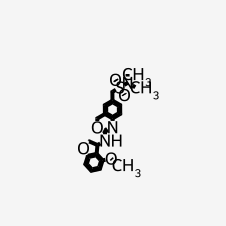 COc1cccc2c1C(NC1=Nc3ccc(CS(=O)(=O)N(C)C)cc3CO1)CO2